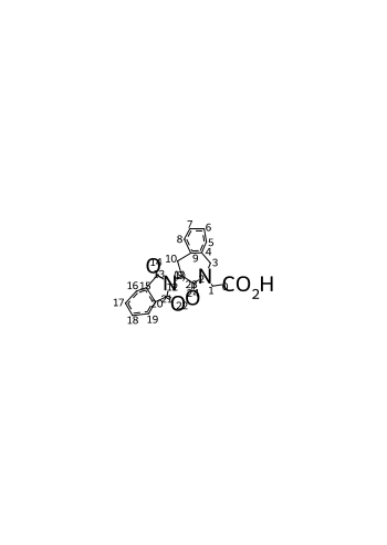 O=C(O)CN1Cc2ccccc2C[C@H](N2C(=O)c3ccccc3C2=O)C1=O